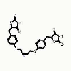 O=C1NC(=O)C(Cc2ccc(OC/C=C\COc3ccc(CC4SC(=O)NC4=O)cc3)cc2)S1